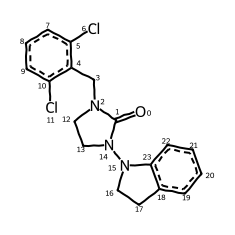 O=C1N(Cc2c(Cl)cccc2Cl)CCN1N1CCc2ccccc21